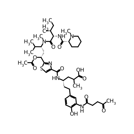 CC[C@H](C)[C@H](NC(=O)[C@H]1CCCCN1C)C(=O)N(C)[C@H](C[C@@H](OC(C)=O)c1nc(C(=O)N[C@@H](CCc2ccc(O)c(NC(=O)CCC(C)=O)c2)CC(C)C(=O)O)cs1)C(C)C